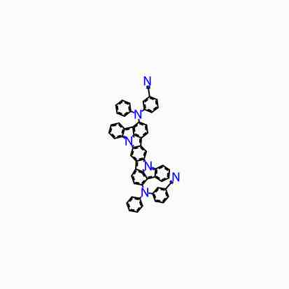 N#Cc1cccc(N(c2ccccc2)c2ccc3c4cc5c(cc4n4c6ccccc6c2c34)c2ccc(N(c3ccccc3)c3cccc(C#N)c3)c3c4ccccc4n5c23)c1